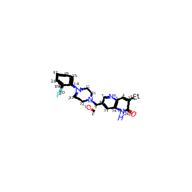 C=O.CCc1cc2ncc(CN3CCN(c4ccccc4F)CC3)cc2[nH]c1=O